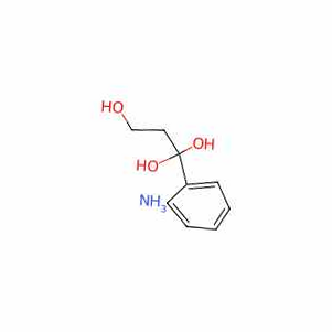 N.OCCC(O)(O)c1ccccc1